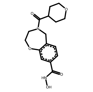 O=C(NO)c1ccc2c(c1)OCCN(C(=O)C1CCOCC1)C2